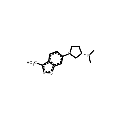 CN(C)[C@H]1CCN(c2ccc3c(C(=O)O)nsc3c2)C1